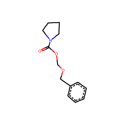 O=C(OCOCc1ccccc1)N1CCCC1